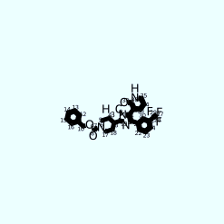 Cn1c(C2CCN(C(=O)OCc3ccccc3)CC2)nc(-c2cccc(C(F)(F)F)c2)c1-c1ccc[nH]c1=O